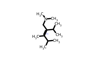 C/C(=C(\CN(C)C)C(C)C)C(C)C